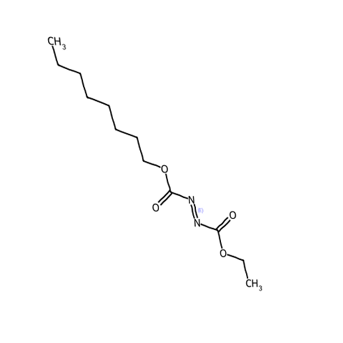 CCCCCCCCOC(=O)/N=N/C(=O)OCC